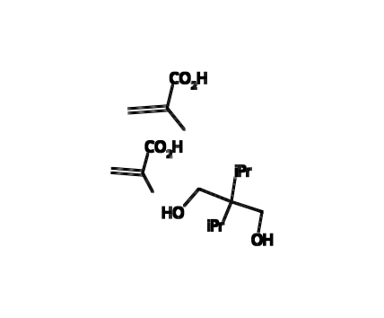 C=C(C)C(=O)O.C=C(C)C(=O)O.CC(C)C(CO)(CO)C(C)C